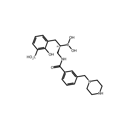 O=C(NC[C@@H](Cc1cccc(C(=O)O)c1O)B(O)O)c1cccc(CN2CCNCC2)c1